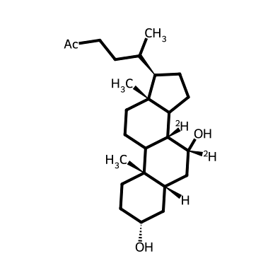 [2H][C@]12C3CC[C@H](C(C)CCC(C)=O)[C@@]3(C)CCC1[C@@]1(C)CC[C@@H](O)C[C@H]1C[C@@]2([2H])O